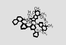 Cc1ccc2c(c1-c1cccc(-c3cc(-c4ccccc4)cc4c3SC3=C(c5cc6c(cc5C3(C)C)C(C)(C)CCC6(C)C)N4c3ccc4c(c3)C(C)(C)CCC4(C)C)c1C)CCCC2